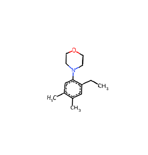 CCc1cc(C)c(C)cc1N1CCOCC1